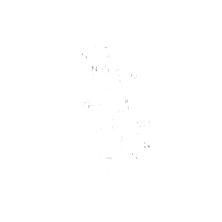 CCn1nc(C2CC2)c(C(=O)c2ccc(S(C)(=O)=O)c(Cn3cccn3)c2Cl)c1O